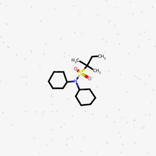 CCC(C)(C)S(=O)(=O)N(C1CCCCC1)C1CCCCC1